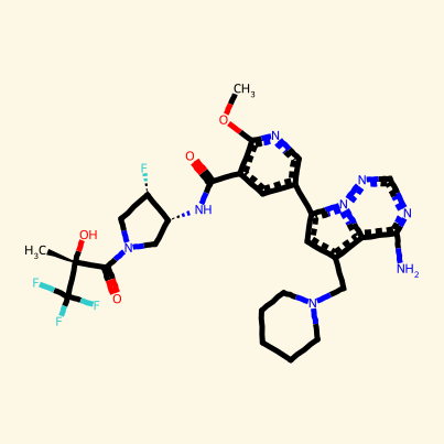 COc1ncc(-c2cc(CN3CCCCC3)c3c(N)ncnn23)cc1C(=O)N[C@@H]1CN(C(=O)[C@@](C)(O)C(F)(F)F)C[C@@H]1F